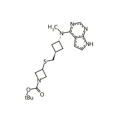 CN(c1ncnc2[nH]ccc12)[C@H]1C[C@H](CSC2CN(C(=O)OC(C)(C)C)C2)C1